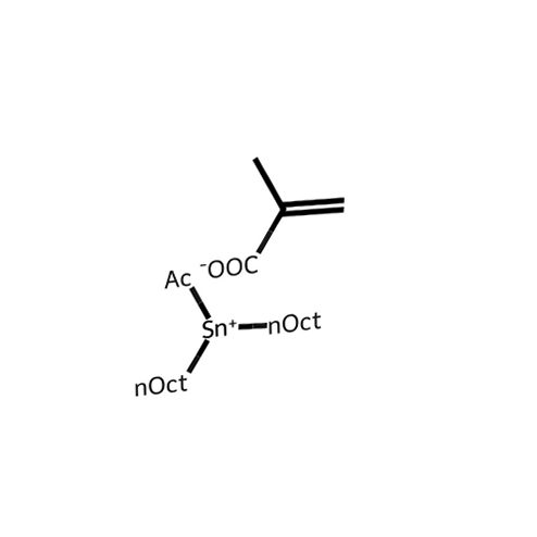 C=C(C)C(=O)[O-].CCCCCCC[CH2][Sn+]([CH2]CCCCCCC)[C](C)=O